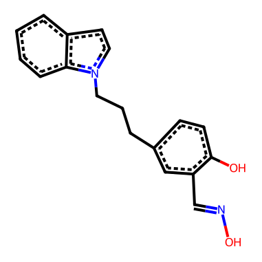 O/N=C/c1cc(CCCn2ccc3ccccc32)ccc1O